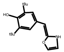 CC(C)(C)c1cc(C=C2NC=CO2)cc(C(C)(C)C)c1O